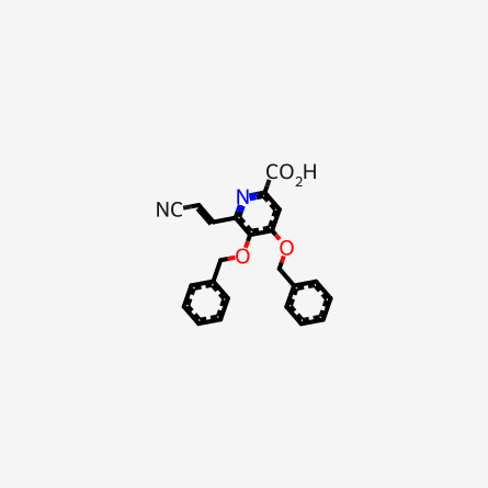 N#CC=Cc1nc(C(=O)O)cc(OCc2ccccc2)c1OCc1ccccc1